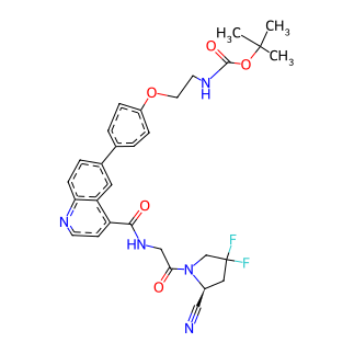 CC(C)(C)OC(=O)NCCOc1ccc(-c2ccc3nccc(C(=O)NCC(=O)N4CC(F)(F)C[C@H]4C#N)c3c2)cc1